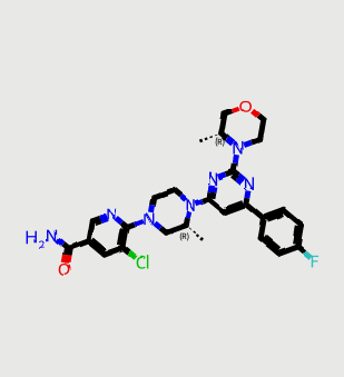 C[C@@H]1CN(c2ncc(C(N)=O)cc2Cl)CCN1c1cc(-c2ccc(F)cc2)nc(N2CCOC[C@H]2C)n1